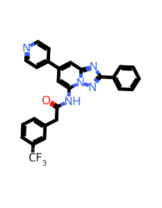 O=C(Cc1cccc(C(F)(F)F)c1)Nc1cc(-c2ccncc2)cc2nc(-c3ccccc3)nn12